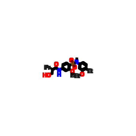 CCOc1cc(N(C)S(=O)(=O)c2ccc(NC(=O)[C@@H](CO)C(C)C)cc2OCC)ccc1CC